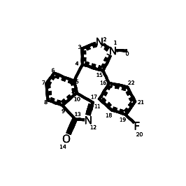 Cn1ncc(-c2cccc3c2C=NC3=O)c1-c1ccc(F)cc1